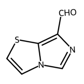 O=Cc1ncn2ccsc12